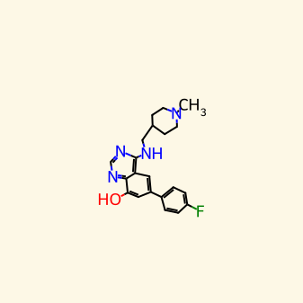 CN1CCC(CNc2ncnc3c(O)cc(-c4ccc(F)cc4)cc23)CC1